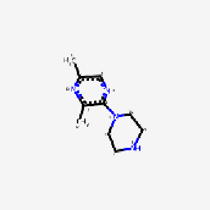 Cc1cnc(N2CCNCC2)c(C)n1